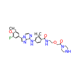 COc1ccc(-c2cnc3c(Nc4ccc(C(=O)NCCOCC(=O)N5CCNCC5)c(C)c4)nccn23)cc1F